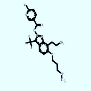 CCCc1c(OCCCNC)ccc2c(C(F)(F)F)[n+](OC(=O)c3ccc(Cl)nc3)oc12